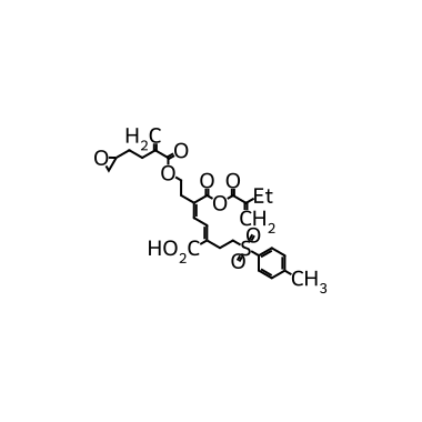 C=C(CCC1CO1)C(=O)OCCC(=CC=C(CCS(=O)(=O)c1ccc(C)cc1)C(=O)O)C(=O)OC(=O)C(=C)CC